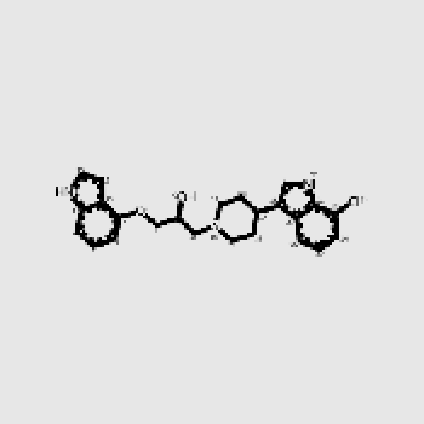 OC(COc1cccc2[nH]ccc12)CN1CCC(c2c[nH]c3c(Cl)cccc23)CC1